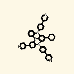 c1ccc2c(c1)B1c3cc(-c4ccncc4)ccc3N(c3ccc(-c4ccncc4)cc3)c3cc(C4CCCCC4)cc(c31)N2c1ccc(-c2ccncc2)cc1